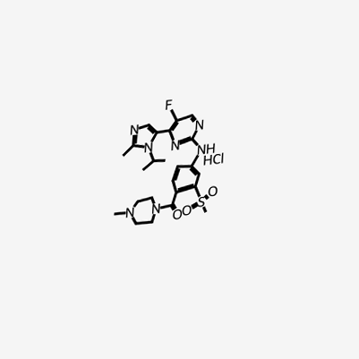 Cc1ncc(-c2nc(Nc3ccc(C(=O)N4CCN(C)CC4)c(S(C)(=O)=O)c3)ncc2F)n1C(C)C.Cl